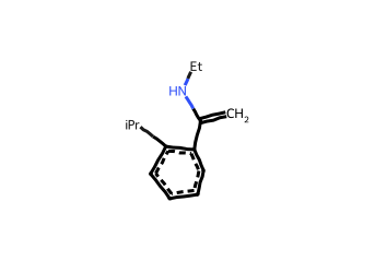 C=C(NCC)c1ccccc1C(C)C